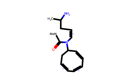 CNC(=O)N(/C=C\CC(C)N)C1C=C/C=C\C=C/C1